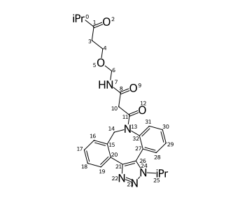 CC(C)C(=O)CCOCNC(=O)CC(=O)N1Cc2ccccc2-c2nnn(C(C)C)c2-c2ccccc21